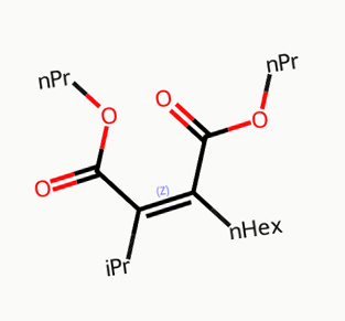 CCCCCC/C(C(=O)OCCC)=C(/C(=O)OCCC)C(C)C